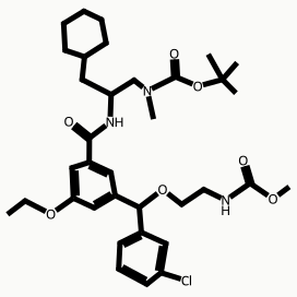 CCOc1cc(C(=O)NC(CC2CCCCC2)CN(C)C(=O)OC(C)(C)C)cc(C(OCCNC(=O)OC)c2cccc(Cl)c2)c1